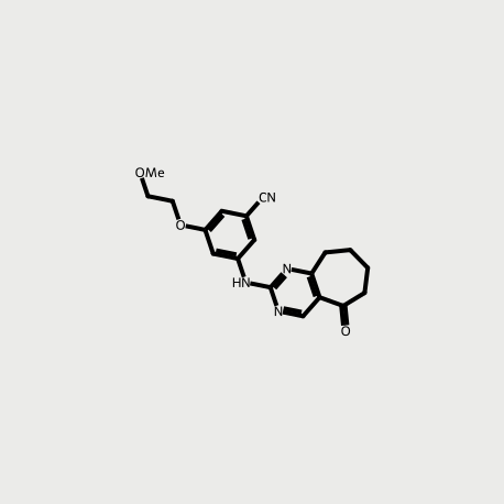 COCCOc1cc(C#N)cc(Nc2ncc3c(n2)CCCCC3=O)c1